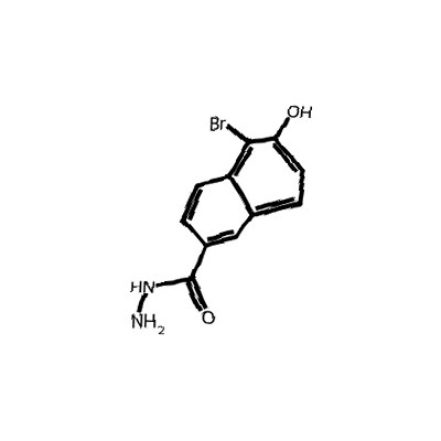 NNC(=O)c1ccc2c(Br)c(O)ccc2c1